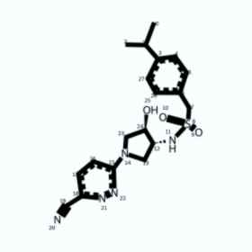 CC(C)c1ccc(CS(=O)(=O)N[C@@H]2CN(c3ccc(C#N)nn3)C[C@H]2O)cc1